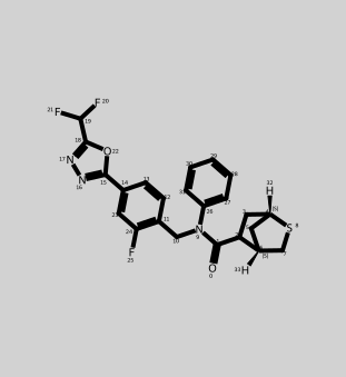 O=C(C1C[C@H]2C[C@@H]1CS2)N(Cc1ccc(-c2nnc(C(F)F)o2)cc1F)c1ccccc1